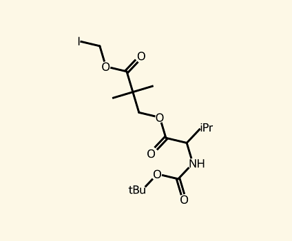 CC(C)C(NC(=O)OC(C)(C)C)C(=O)OCC(C)(C)C(=O)OCI